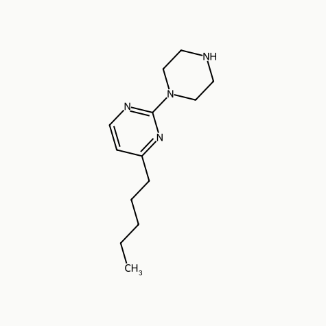 CCCCCc1ccnc(N2CCNCC2)n1